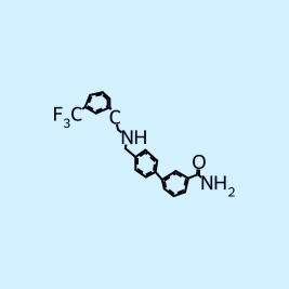 NC(=O)c1cccc(-c2ccc(CNCCc3cccc(C(F)(F)F)c3)cc2)c1